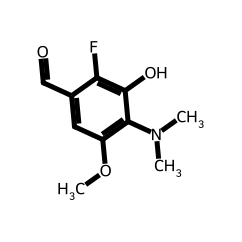 COc1cc(C=O)c(F)c(O)c1N(C)C